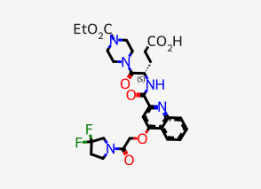 CCOC(=O)N1CCN(C(=O)[C@H](CCC(=O)O)NC(=O)c2cc(OCC(=O)N3CCC(F)(F)C3)c3ccccc3n2)CC1